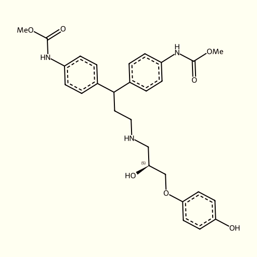 COC(=O)Nc1ccc(C(CCNC[C@H](O)COc2ccc(O)cc2)c2ccc(NC(=O)OC)cc2)cc1